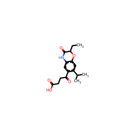 CCC1Oc2cc(C(C)C)c(C(=O)CCC(=O)O)cc2NC1=O